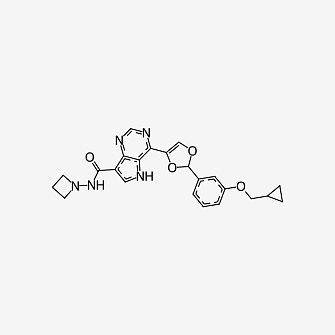 O=C(NN1CCC1)c1c[nH]c2c(C3=COC(c4cccc(OCC5CC5)c4)O3)ncnc12